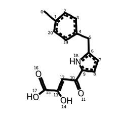 Cc1ccc(Cc2ccc(C(=O)C=C(O)C(=O)O)[nH]2)cc1